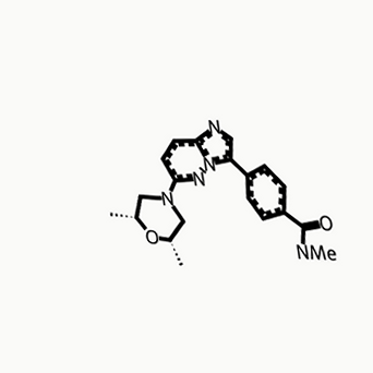 CNC(=O)c1ccc(-c2cnc3ccc(N4C[C@@H](C)O[C@@H](C)C4)nn23)cc1